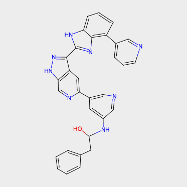 OC(Cc1ccccc1)Nc1cncc(-c2cc3c(-c4nc5c(-c6cccnc6)cccc5[nH]4)n[nH]c3cn2)c1